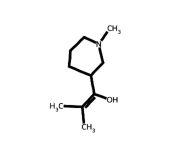 CC(C)=C(O)C1CCCN(C)C1